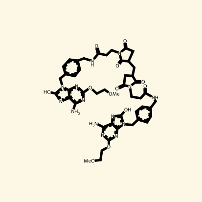 COCCOc1nc(N)c2nc(O)n(Cc3ccc(CNC(=O)CCN4C(=O)CC(CC5CC(=O)N(CCC(=O)NCc6ccc(Cn7c(O)nc8c(N)nc(OCCOC)nc87)cc6)C5=O)C4=O)cc3)c2n1